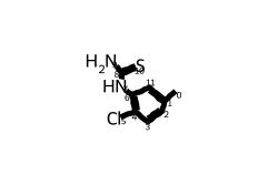 Cc1ccc(Cl)c(NC(N)=S)c1